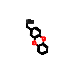 CC(C)(C)Cc1ccc2c(c1)Oc1ccccc1O2